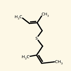 CC=C(C)CSCC(C)=CC